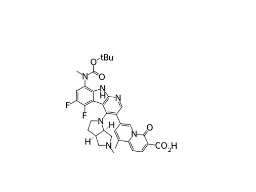 Cc1cc(-c2cnc3[nH]c4c(N(C)C(=O)OC(C)(C)C)cc(F)c(F)c4c3c2N2CC[C@@H]3CN(C)C[C@@H]32)cn2c(=O)c(C(=O)O)ccc12